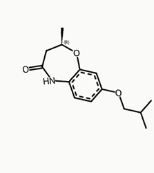 CC(C)COc1ccc2c(c1)O[C@H](C)CC(=O)N2